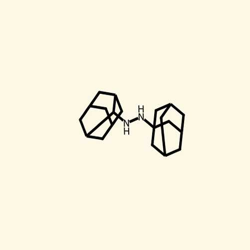 C1C2CC3CC1CC(C2)C3NNC12CC3CC(CC(C3)C1)C2